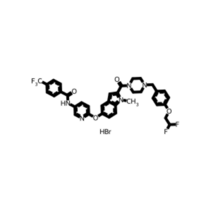 Br.Cn1c(C(=O)N2CCN(Cc3ccc(OCC(F)F)cc3)CC2)cc2cc(Oc3ccc(NC(=O)c4ccc(C(F)(F)F)cc4)cn3)ccc21